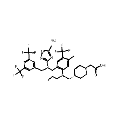 CCCN(C[C@H]1CC[C@H](CC(=O)O)CC1)c1cc(C)c(C(F)(F)F)cc1CN(Cc1cc(C(F)(F)F)cc(C(F)(F)F)c1)c1noc(C)n1.Cl